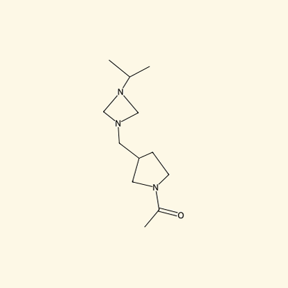 CC(=O)N1CCC(CN2CN(C(C)C)C2)C1